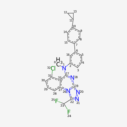 CN(c1cccc(-c2ccc(C3CC3)cc2)c1)c1nc2nnc(C(F)F)n2c2cccc(Cl)c12